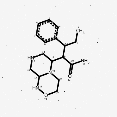 CCC(c1ccccc1)C(C(N)=O)C1CNCC2NOCCN21